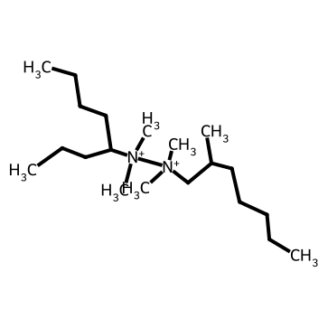 CCCCCC(C)C[N+](C)(C)[N+](C)(C)C(CCC)CCCC